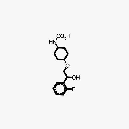 O=C(O)N[C@H]1CC[C@H](OCC(O)c2ccccc2F)CC1